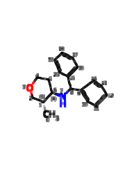 C[C@@H]1COCC[C@H]1NC(c1ccccc1)c1ccccc1